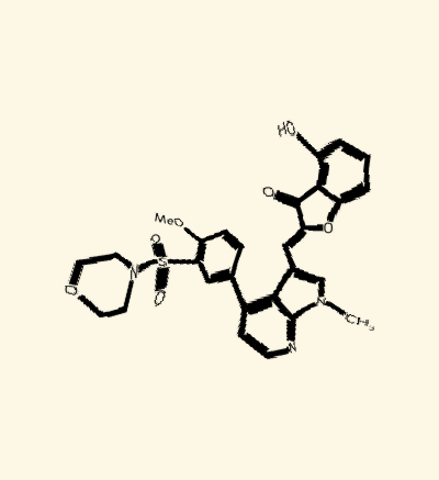 COc1ccc(-c2ccnc3c2c(C=C2Oc4cccc(O)c4C2=O)cn3C)cc1S(=O)(=O)N1CCOCC1